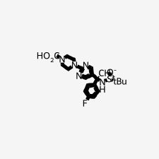 CC(C)(C)[S+]([O-])N[C@@](C)(c1ccc(F)cc1)c1cnc(N2CCN(C(=O)O)CC2)nc1